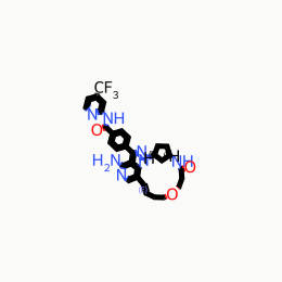 Nc1ncc2c3c1c(-c1ccc(C(=O)Nc4cc(C(F)(F)F)ccn4)cc1)nn3[C@@H]1CC[C@H](C1)NC(=O)CCOCC/C=C/2